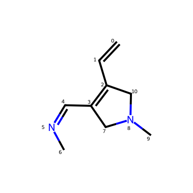 C=CC1=C(/C=N\C)CN(C)C1